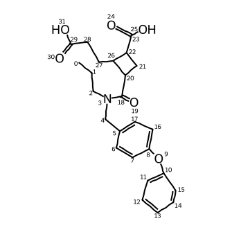 CCCN(Cc1ccc(Oc2ccccc2)cc1)C(=O)C1CC(C(=O)O)C1CCC(=O)O